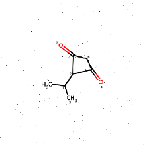 CC(C)C1C(=O)CC1=O